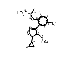 CCCCOC1C(c2cc(Br)ccc2O[C@@H](C)C(=O)O)=NOC1C1CC1